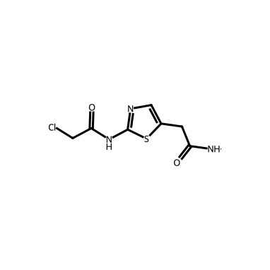 [NH]C(=O)Cc1cnc(NC(=O)CCl)s1